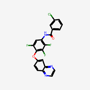 O=C(Nc1cc(F)c(Oc2ccc3nccnc3c2)c(F)c1F)c1cccc(Cl)c1